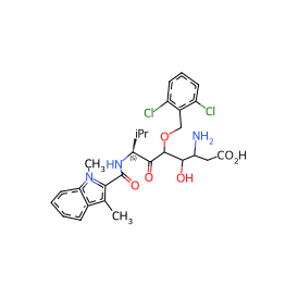 Cc1c(C(=O)N[C@H](C(=O)C(OCc2c(Cl)cccc2Cl)C(O)C(N)CC(=O)O)C(C)C)n(C)c2ccccc12